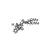 COc1ccc(CNC(=O)c2cc3c(=O)n(Cc4ccccc4)c(=O)n(C)c3s2)cc1OC